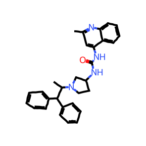 Cc1cc(NC(=O)NC2CCN(C(C)C(c3ccccc3)c3ccccc3)C2)c2ccccc2n1